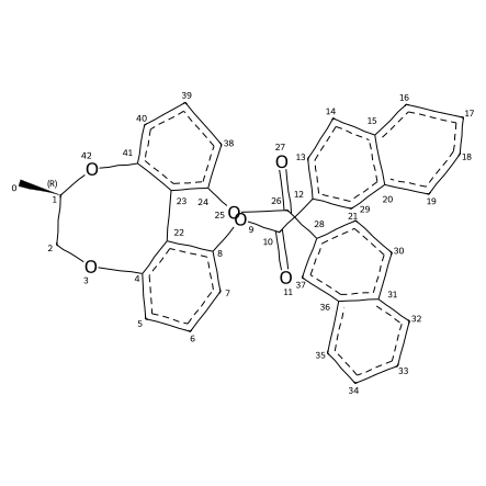 C[C@@H]1COc2cccc(OC(=O)c3ccc4ccccc4c3)c2-c2c(OC(=O)c3ccc4ccccc4c3)cccc2O1